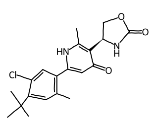 Cc1cc(C(C)(C)C)c(Cl)cc1-c1cc(=O)c([C@H]2COC(=O)N2)c(C)[nH]1